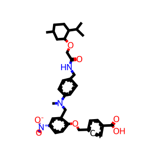 CC1CCC(C(C)C)C(OCC(=O)NCc2ccc(N(C)Cc3cc([N+](=O)[O-])ccc3OCc3ccc(C(=O)O)cc3)cc2)C1